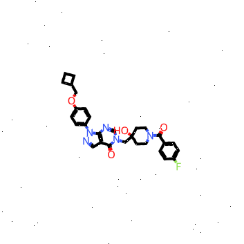 O=C(c1ccc(F)cc1)N1CCC(O)(Cn2cnc3c(cnn3-c3ccc(OCC4CCC4)cc3)c2=O)CC1